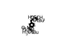 CC(C)(C)[Si](C)(C)OC(=O)Cc1ccc(O[Si](C)(C)C(C)(C)C)c([N+](=O)[O-])c1